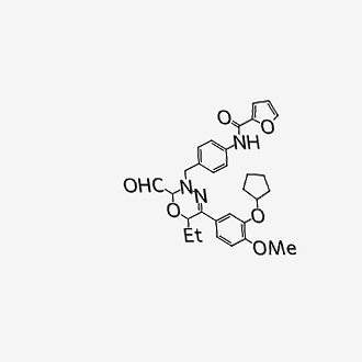 CCC1OC(C=O)N(Cc2ccc(NC(=O)c3ccco3)cc2)N=C1c1ccc(OC)c(OC2CCCC2)c1